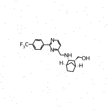 OC[C@H]1[C@H]2CC[C@H](C2)[C@@H]1NCc1ccnc(-c2ccc(C(F)(F)F)cc2)n1